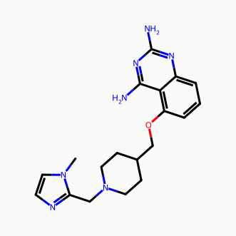 Cn1ccnc1CN1CCC(COc2cccc3nc(N)nc(N)c23)CC1